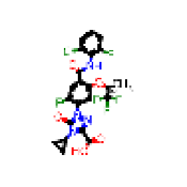 C[C@H](Oc1cc(-n2nc(C(=O)O)n(C3CC3)c2=O)c(F)cc1C(=O)Nc1c(F)cccc1Cl)C(F)(F)F